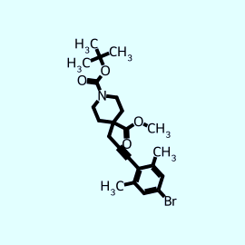 COC(=O)C1(CC#Cc2c(C)cc(Br)cc2C)CCN(C(=O)OC(C)(C)C)CC1